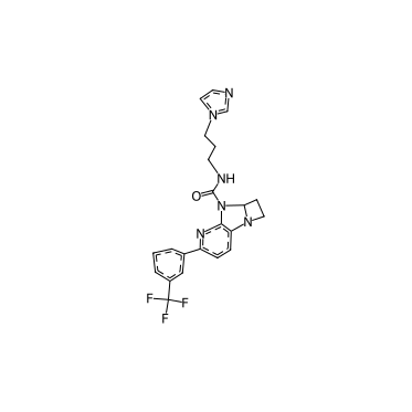 O=C(NCCCn1ccnc1)N1c2nc(-c3cccc(C(F)(F)F)c3)ccc2N2CCC21